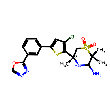 CC1(C)C(N)N[C@](C)(c2sc(-c3cccc(-c4nnco4)c3)cc2Cl)CS1(=O)=O